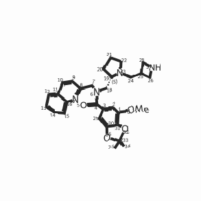 COc1cc(C(=O)N(Cc2ccc3ccccc3n2)C[C@@H]2CCCN2CC2CNC2)cc2c1OC(C)(C)O2